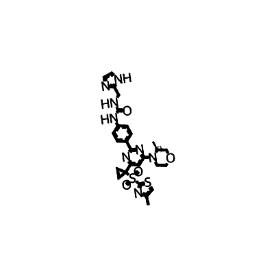 Cc1csc(S(=O)(=O)C2(c3cc(N4CCOC[C@@H]4C)nc(-c4ccc(NC(=O)NCc5ncc[nH]5)cc4)n3)CC2)n1